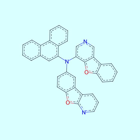 c1ccc2c(c1)cc(N(c1ccc3oc4ncccc4c3c1)c1cncc3c1oc1ccccc13)c1ccccc12